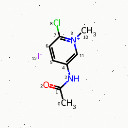 CC(=O)Nc1ccc(Cl)[n+](C)c1.[I-]